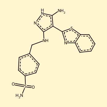 Nc1[nH]nc(NCc2ccc(S(N)(=O)=O)cc2)c1-c1nc2ccccc2s1